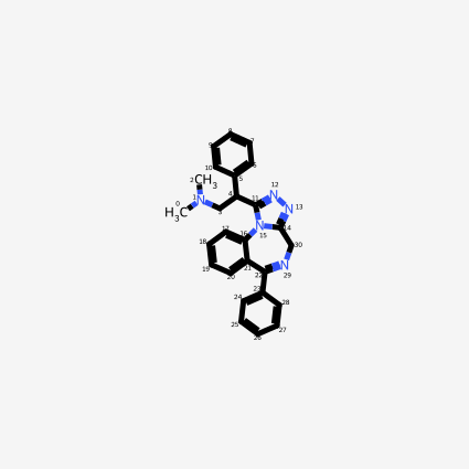 CN(C)CC(c1ccccc1)c1nnc2n1-c1ccccc1C(c1ccccc1)=NC2